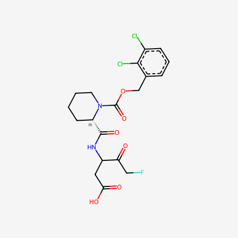 O=C(O)CC(NC(=O)[C@@H]1CCCCN1C(=O)OCc1cccc(Cl)c1Cl)C(=O)CF